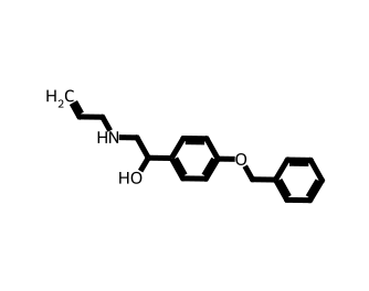 C=CCNCC(O)c1ccc(OCc2ccccc2)cc1